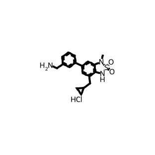 CN1c2cc(-c3cccc(CN)c3)cc(CC3CC3)c2NS1(=O)=O.Cl